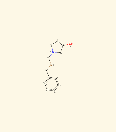 OC1CCN(CSCc2ccccc2)C1